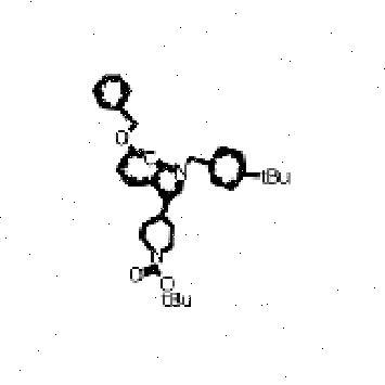 CC(C)(C)OC(=O)N1CCC(c2cn(Cc3ccc(C(C)(C)C)cc3)c3cc(OCc4ccccc4)ccc23)CC1